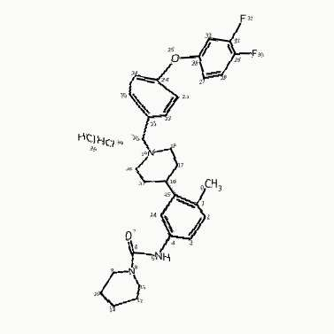 Cc1ccc(NC(=O)N2CC[CH]CC2)cc1C1CCN(Cc2ccc(Oc3ccc(F)c(F)c3)cc2)CC1.Cl.Cl